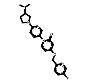 CN(C)C1CCN(c2ccc(-n3ccc(OCc4ccc(F)cn4)cc3=O)cn2)C1